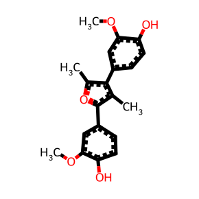 COc1cc(-c2oc(C)c(-c3ccc(O)c(OC)c3)c2C)ccc1O